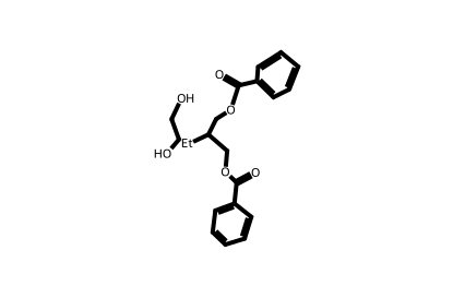 CCC(COC(=O)c1ccccc1)COC(=O)c1ccccc1.OCCO